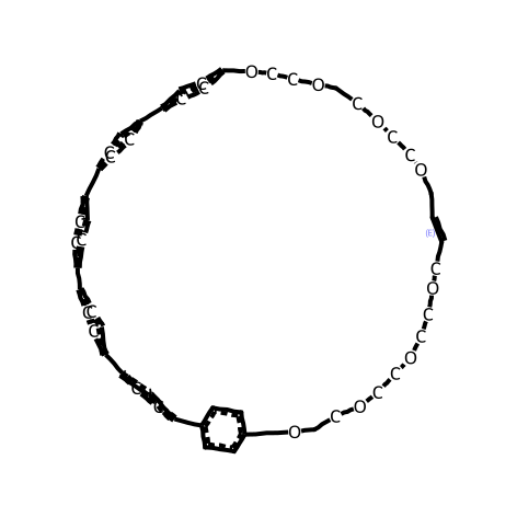 C1=C/COCCOCCOCCOc2ccc(cc2)-c2ccc(cc2)-c2ccc(cc2)-c2ccc(cc2)-c2ccc(cc2)-c2ccc(cc2)OCCOCCOCCOC/1